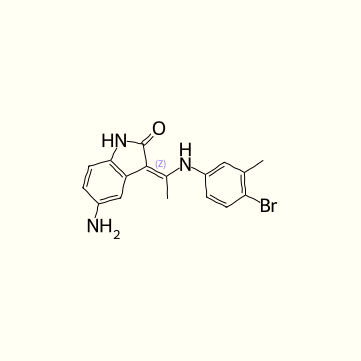 C/C(Nc1ccc(Br)c(C)c1)=C1/C(=O)Nc2ccc(N)cc21